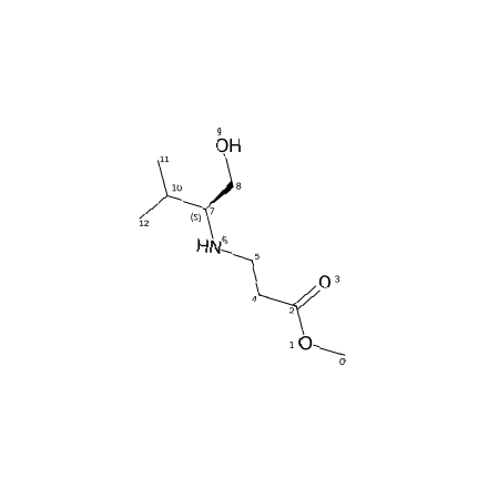 COC(=O)CCN[C@H](CO)C(C)C